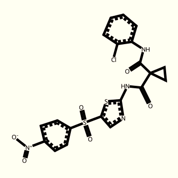 O=C(Nc1ncc(S(=O)(=O)c2ccc([N+](=O)[O-])cc2)s1)C1(C(=O)Nc2ccccc2Cl)CC1